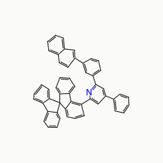 c1ccc(-c2cc(-c3cccc(-c4ccc5ccccc5c4)c3)nc(-c3cccc4c3-c3ccccc3C43c4ccccc4-c4ccccc43)c2)cc1